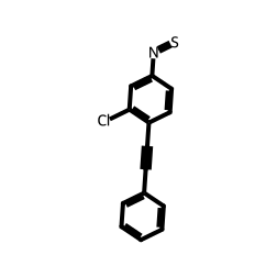 S=Nc1ccc(C#Cc2ccccc2)c(Cl)c1